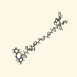 CC(C)[C@H](NC(=O)CCOCCOCCOCCOCCNC(=O)CCC(=O)N1Cc2ccccc2/C=C\c2ccccc21)C(N)=O